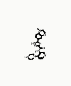 CN1CCOc2cc(-c3nc(C(=O)Nc4cnccc4N4CCNCC4)n[nH]3)ccc21